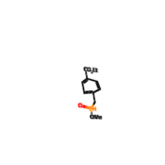 CCOC(=O)c1ccc(C[PH](=O)OC)cc1